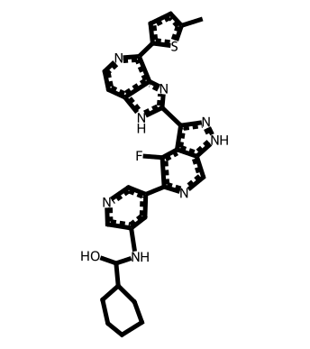 Cc1ccc(-c2nccc3[nH]c(-c4n[nH]c5cnc(-c6cncc(NC(O)C7CCCCC7)c6)c(F)c45)nc23)s1